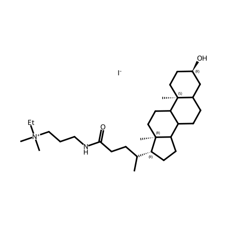 CC[N+](C)(C)CCCNC(=O)CCC(C)[C@H]1CCC2C3CCC4C[C@H](O)CC[C@]4(C)C3CC[C@@]21C.[I-]